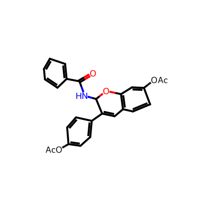 CC(=O)Oc1ccc(C2=Cc3ccc(OC(C)=O)cc3OC2NC(=O)c2ccccc2)cc1